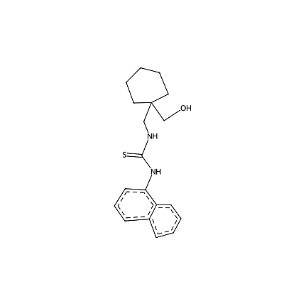 OCC1(CNC(=S)Nc2cccc3ccccc23)CCCCC1